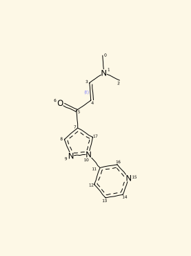 CN(C)/C=C/C(=O)c1cnn(-c2cccnc2)c1